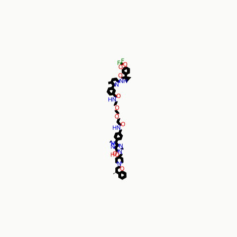 Cc1ccc(NC(=O)C2(c3ccc4c(c3)OC(F)(F)O4)CC2)nc1-c1cccc(C(=O)NCCOCCOCCC(=O)NCc2ccc(-c3c4ncn(CC5(O)CCN(C(=O)C[C@@H](C)c6ccccc6)CC5)c(=O)c4nn3C)cc2)c1